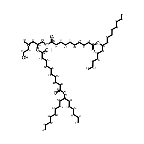 CCCCCCCCC(CCCCCC)OC(=O)CCCCCCCCC(=O)OCC(CN(C)CCO)OC(O)CCCCCCCCC(=O)OC(CCCCCC)CCCCCCCC